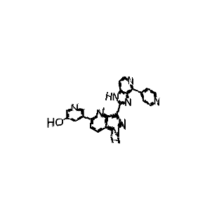 Oc1cncc(-c2ccc3[nH]nc(-c4nc5c(-c6ccncc6)nccc5[nH]4)c3n2)c1